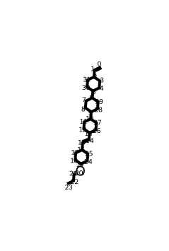 C=CC1CCC(C2CCC(C3CCC(/C=C/C4CCC(OCCC)CC4)CC3)CC2)CC1